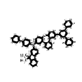 CC1(C)c2ccccc2-c2ccc(N(c3ccc(-c4ccccc4)cc3)c3ccc4c(c3)-c3ccccc3-c3cc(-c5cc(-c6ccccc6)cc(-c6ccccc6)c5)ccc3O4)cc21